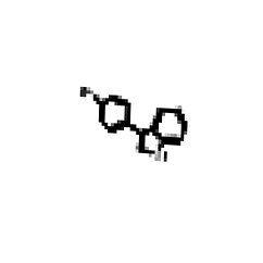 CC(C)c1ccc(-c2c[nH]c3ccccc23)cc1